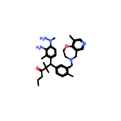 CCCC(=O)C(C)(C)C(c1ccc(C)c(CN2CCOc3c(C)cncc3C2)c1)c1ccc(N(C)N)c(N)c1C